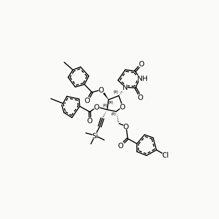 Cc1ccc(C(=O)O[C@H]2[C@H](n3ccc(=O)[nH]c3=O)O[C@H](COC(=O)c3ccc(Cl)cc3)[C@@]2(C#C[Si](C)(C)C)OC(=O)c2ccc(C)cc2)cc1